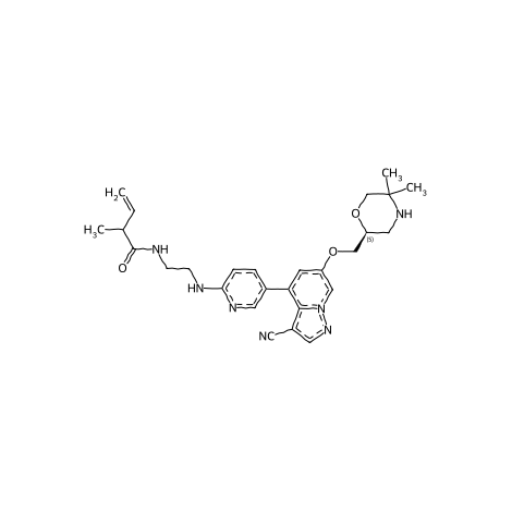 C=CC(C)C(=O)NCCNc1ccc(-c2cc(OC[C@@H]3CNC(C)(C)CO3)cn3ncc(C#N)c23)cn1